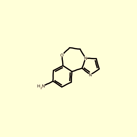 Nc1ccc2c(c1)OCCn1ccnc1-2